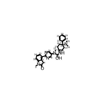 CN1C(=O)Cc2c(-c3ncc(N4C[C@]5(CC[C@](c6ccccc6)(N(C)C)CC5)NC4O)cn3)cccc21